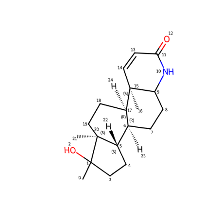 CC1(O)CC[C@H]2[C@@H]3CCC4NC(=O)C=C[C@]4(C)[C@@H]3CC[C@@]21C